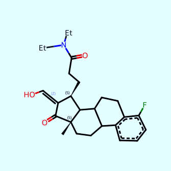 CCN(CC)C(=O)CC[C@@H]1/C(=C/O)C(=O)[C@@]2(C)CCC3c4cccc(F)c4CCC3C12